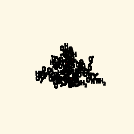 CC[C@H]1O[C@@H](n2cc(C)c(=O)[nH]c2=O)CC1OP(=O)(S)OC[C@H]1O[C@@H](n2cc(C)c(N)nc2=O)[C@@H](OCCOC)C1OP(=O)(O)OC[C@H]1O[C@@H](n2cc(C)c(=O)[nH]c2=O)[C@@H](OCCOC)C1OP(=O)(O)OC[C@H]1O[C@@H](n2cc(C)c(=O)[nH]c2=O)[C@@H](OCCOC)C1OP(=O)(S)OC[C@H]1O[C@@H](n2cc(C)c(=O)[nH]c2=O)[C@@H](OCCOC)C1OP(=O)(S)OC[C@H]1O[C@@H](n2cc(C)c(N)nc2=O)[C@@H](OCCOC)C1O